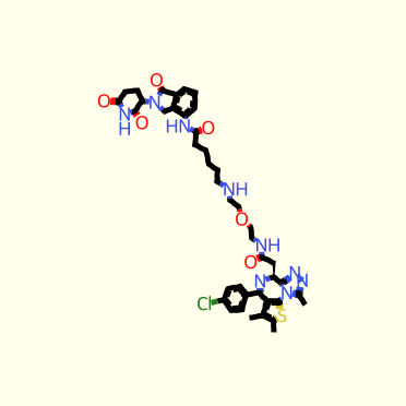 Cc1sc2c(c1C)C(c1ccc(Cl)cc1)=N[C@@H](CC(=O)NCCOCCNCCCCCC(=O)Nc1cccc3c1CN(C1CCC(=O)NC1=O)C3=O)c1nnc(C)n1-2